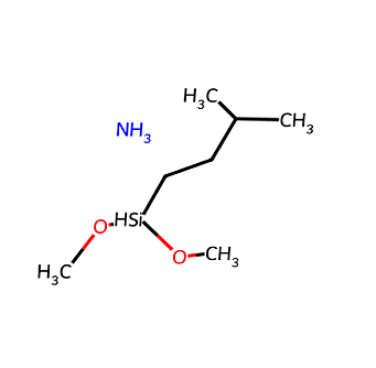 CO[SiH](CCC(C)C)OC.N